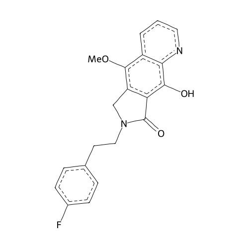 COc1c2c(c(O)c3ncccc13)C(=O)N(CCc1ccc(F)cc1)C2